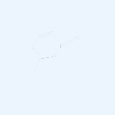 Cc1[c]ccc(=O)o1